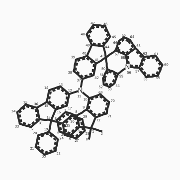 CC1(C)c2ccccc2-c2c(N(c3ccc4c(c3)C(c3ccccc3)(c3ccccc3)c3ccccc3-4)c3ccc4c(c3)C3(c5ccccc5-4)c4ccccc4-n4c5ccccc5c5cccc3c54)cccc21